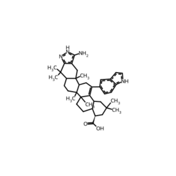 CC1(C)CC2C3=C(c4ccc5[nH]ccc5c4)CC4C5(C)Cc6c(n[nH]c6N)C(C)(C)C5CCC4(C)C3(C)CCC2[C@H](C(=O)O)C1